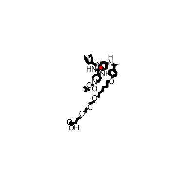 C[C@@H](Nc1cccc(NC2(c3nnc(-c4ccncc4)[nH]3)CCN(C(=O)OC(C)(C)C)CC2)c1)c1ccc(OCCCCCCOCCOCCOCCCC(=O)O)cc1